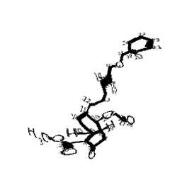 COC(=O)[C@@H]1C(=O)C[C@@H]2[C@H]1C[C@@H](CCCCCOCc1ccccc1)[C@H]2OC=O